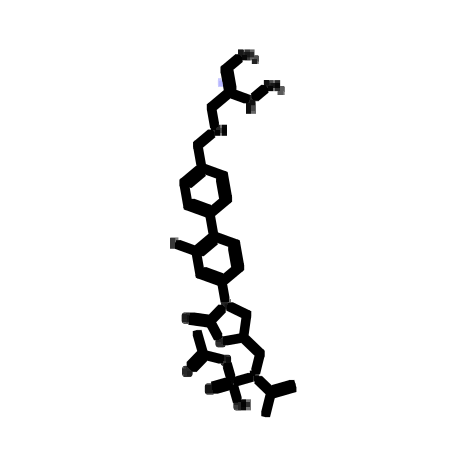 C=C(C)N(CC1CN(c2ccc(-c3ccc(CNC/C(=C/N)NN)cc3)c(F)c2)C(=O)O1)P(=O)(O)OC(C)=O